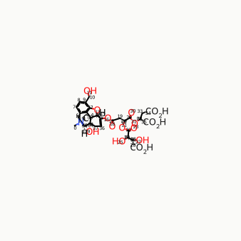 CN1CC[C@]23c4c5ccc(CO)c4O[C@H]2C(OC(=O)C[C@H](OC(=O)[C@H](O)[C@@H](O)C(=O)O)C(=O)O[C@@H](CC(=O)O)C(=O)O)=CC[C@@]3(O)[C@H]1C5